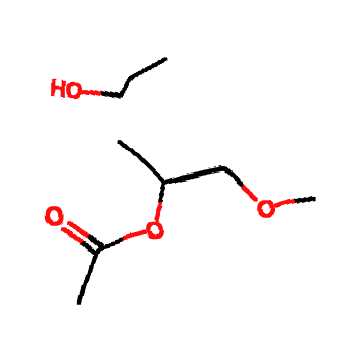 CCO.COCC(C)OC(C)=O